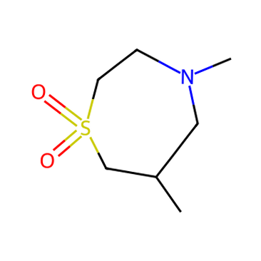 CC1CN(C)CCS(=O)(=O)C1